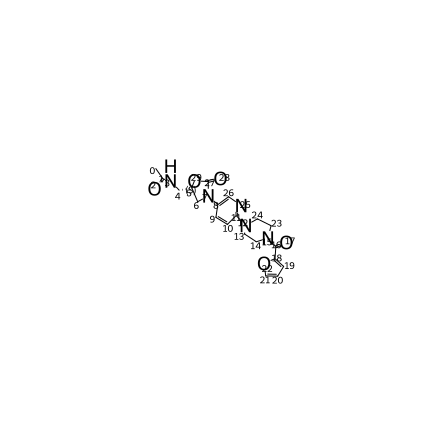 CC(=O)NC[C@H]1CN(c2ccc(N3CCN(C(=O)c4ccco4)CC3)nc2)C(=O)O1